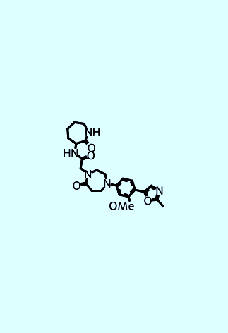 COc1cc(N2CCC(=O)N(CC(=O)NC3CCCCNC3=O)CC2)ccc1-c1cnc(C)o1